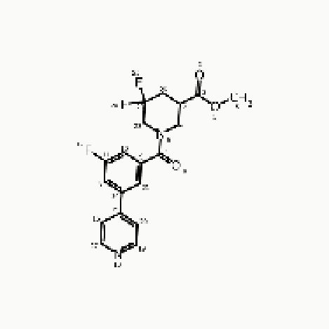 COC(=O)C1CN(C(=O)c2cc(F)cc(-c3ccncc3)c2)CC(F)(F)C1